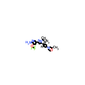 CC(C)n1nc(-c2cnc(N)c(OC(F)(F)F)c2)cc1[C@H]1[C@@H]2C[C@@H](N3CCO[C@@H](C)C3)C[C@@H]21